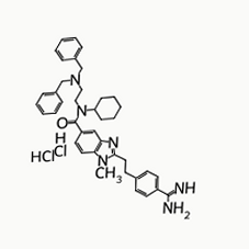 Cl.Cl.Cn1c(CCc2ccc(C(=N)N)cc2)nc2cc(C(=O)N(CCN(Cc3ccccc3)Cc3ccccc3)C3CCCCC3)ccc21